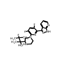 CC(C)(F)C(C)(O)C1CN(c2nc(-c3n[nH]c4ncccc34)c(F)cc2F)CCN1